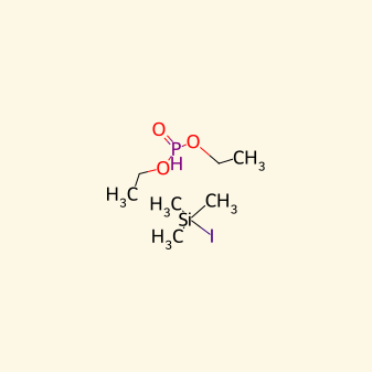 CCO[PH](=O)OCC.C[Si](C)(C)I